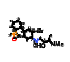 CNC(C)CCN(C=O)c1ccc(-c2ccccc2P(C)(C)=O)cc1C(C)C